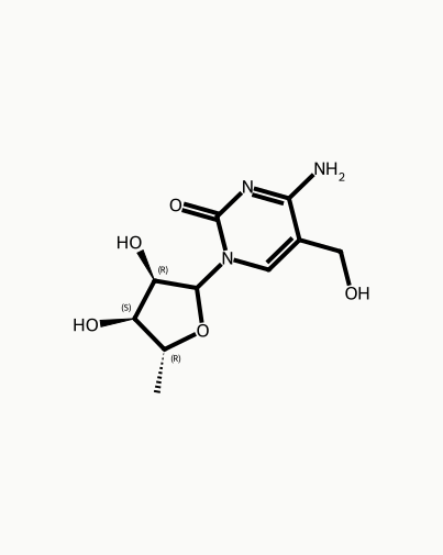 C[C@H]1OC(n2cc(CO)c(N)nc2=O)[C@H](O)[C@@H]1O